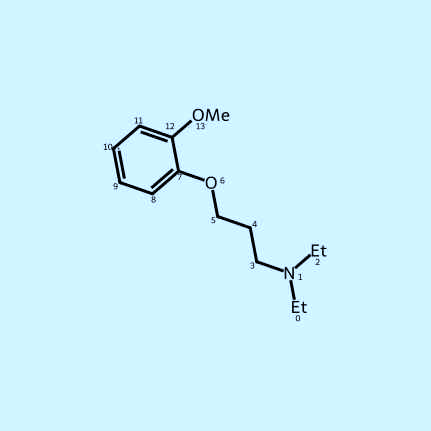 CCN(CC)CCCOc1cc[c]cc1OC